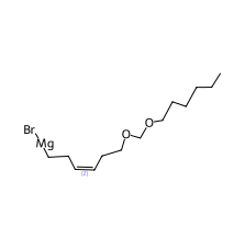 CCCCCCOCOCC/C=C\C[CH2][Mg][Br]